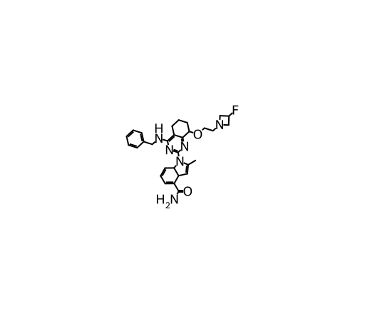 CC1=CC2C(C(N)=O)=CC=CC2N1c1nc(NCc2ccccc2)c2c(n1)C(OCCN1CC(F)C1)CCC2